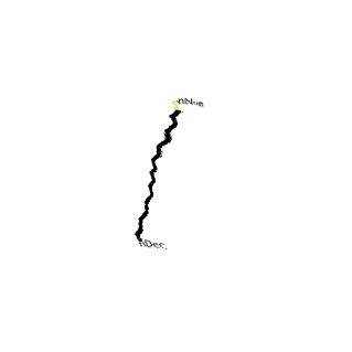 CCCCCCCCCCCCCCCCCCCCCCCCCCC[CH]SCCCCCCCCC